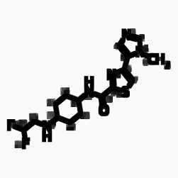 Cn1cncc1-c1csc(C(=O)NC2CCC(NCC(F)F)CC2)n1